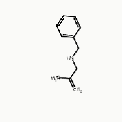 C=C(N)CNCc1ccccc1